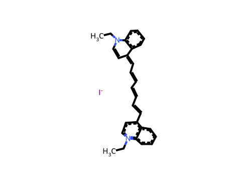 CCN1C=CC(=CC=CC=CC=Cc2cc[n+](CC)c3ccccc23)c2ccccc21.[I-]